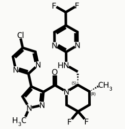 C[C@@H]1CC(F)(F)CN(C(=O)c2nn(C)cc2-c2ncc(Cl)cn2)[C@@H]1CNc1ncc(C(F)F)cn1